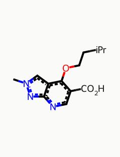 CC(C)CCOc1c(C(=O)O)cnc2nn(C)cc12